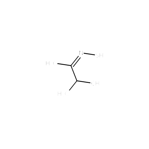 CC(=NS)C(C)C